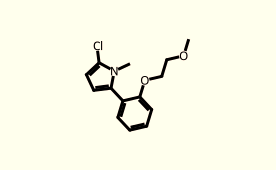 COCCOc1ccccc1-c1ccc(Cl)n1C